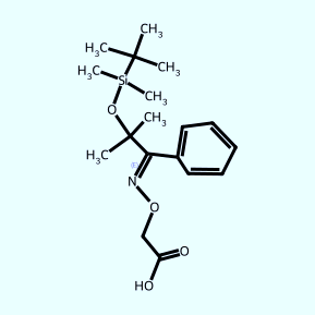 CC(C)(O[Si](C)(C)C(C)(C)C)/C(=N/OCC(=O)O)c1ccccc1